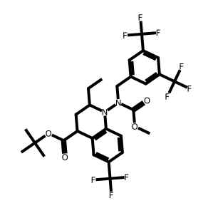 CCC1CC(C(=O)OC(C)(C)C)c2cc(C(F)(F)F)ccc2N1N(Cc1cc(C(F)(F)F)cc(C(F)(F)F)c1)C(=O)OC